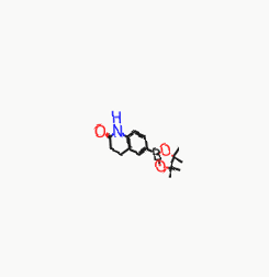 CC1(C)OB(c2ccc3c(c2)CCC(=O)N3)OC1(C)C